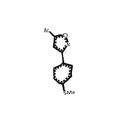 CSc1ccc(-c2cc(C(C)=O)on2)cc1